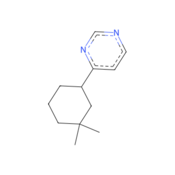 CC1(C)CCCC(c2ccncn2)C1